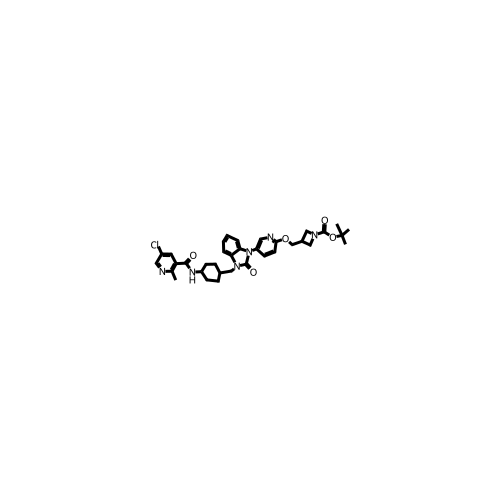 Cc1ncc(Cl)cc1C(=O)NC1CCC(Cn2c(=O)n(-c3ccc(OCC4CN(C(=O)OC(C)(C)C)C4)nc3)c3ccccc32)CC1